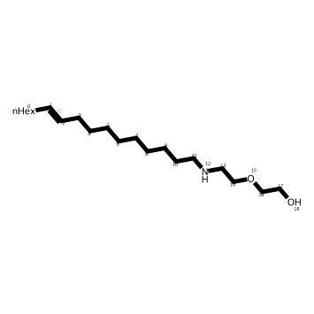 CCCCCC/C=C/CCCCCCCCCNCCOCCO